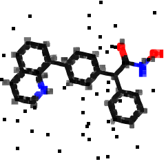 O=C(NO)C(c1ccccc1)c1ccc(-c2cccc3cccnc23)cc1